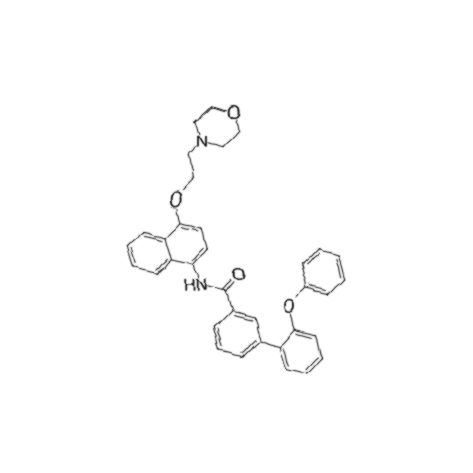 O=C(Nc1ccc(OCCN2CCOCC2)c2ccccc12)c1cccc(-c2ccccc2Oc2ccccc2)c1